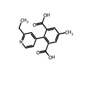 CCc1cc(-c2c(C(=O)O)cc(C)cc2C(=O)O)ccn1